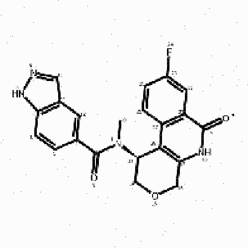 CN(C(=O)c1ccc2[nH]ncc2c1)[C@@H]1COCc2[nH]c(=O)c3cc(F)ccc3c21